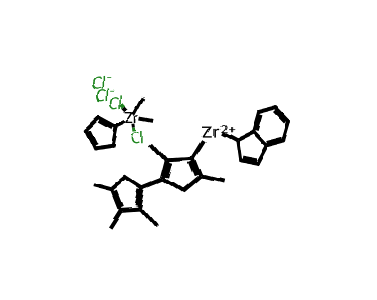 CC1=C(C)C(C)=C(C2=C(C)C(C)=C(C)C2)C1.[CH3][Zr]([CH3])([Cl])([Cl])[C]1=CC=CC1.[Cl-].[Cl-].[Zr+2][CH]1C=Cc2ccccc21